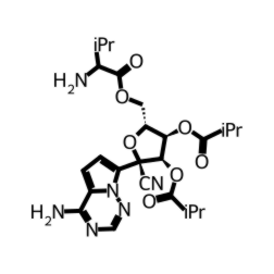 CC(C)C(=O)O[C@H]1[C@@H](OC(=O)C(C)C)[C@](C#N)(c2ccc3c(N)ncnn23)O[C@@H]1COC(=O)C(N)C(C)C